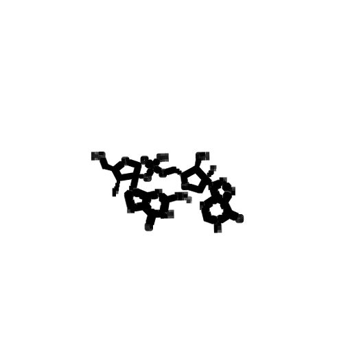 Nc1nc2c(ncn2[C@]2(OP(=O)(S)OC[C@H]3OC[C@](F)(n4nnc5c(=O)[nH]cnc54)[C@@H]3O)CO[C@H](CO)[C@H]2F)c(=O)[nH]1